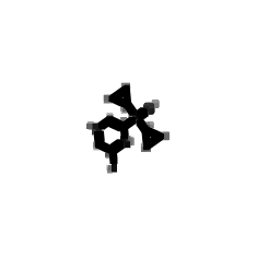 O=P(c1cncc(I)n1)(C1CC1)C1CC1